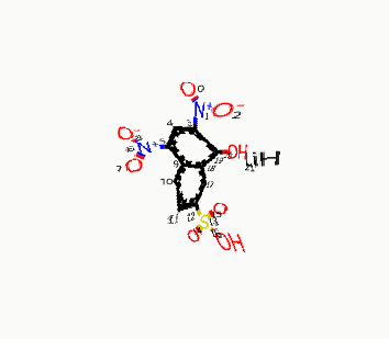 O=[N+]([O-])c1cc([N+](=O)[O-])c2ccc(S(=O)(=O)O)cc2c1O.[LiH]